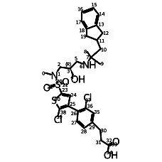 CN(C[C@H](O)CNC(C)(C)CC1Cc2ccccc2C1)S(=O)(=O)c1cc(-c2ccc(CCC(=O)O)cc2Cl)c(Cl)s1